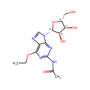 CCOc1nc(NC(C)=O)nc2c1ncn2[C@@H]1O[C@H](CO)[C@@H](O)[C@H]1O